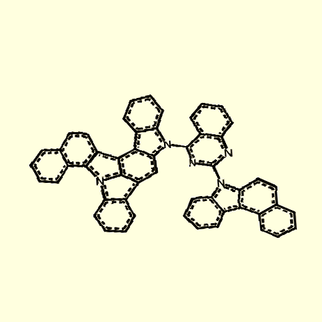 c1ccc2c(c1)ccc1c2c2ccccc2n1-c1nc(-n2c3ccccc3c3c4c5ccc6ccccc6c5n5c6ccccc6c(cc32)c45)c2ccccc2n1